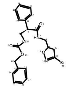 O=C(NC[C@H](C(=O)NCC1CC(Br)=NO1)c1ccccc1)OCc1ccccc1